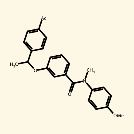 COc1ccc(N(C)C(=O)c2cccc(OC(C)c3ccc(C(C)=O)cc3)c2)cc1